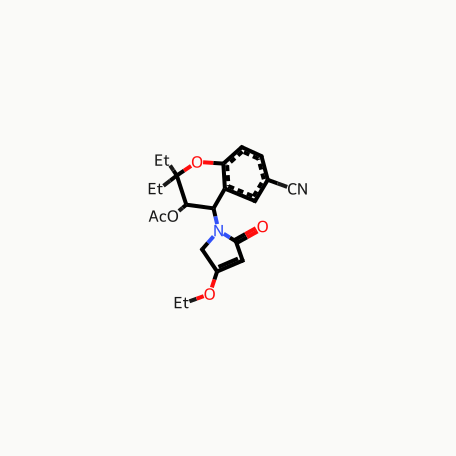 CCOC1=CC(=O)N(C2c3cc(C#N)ccc3OC(CC)(CC)C2OC(C)=O)C1